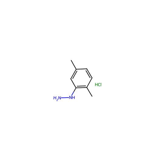 Cc1ccc(C)c(NN)c1.Cl